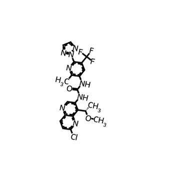 CO[C@@H](C)c1c(NC(=O)Nc2cc(C(F)(F)F)c(-n3nccn3)nc2C)cnc2ccc(Cl)nc12